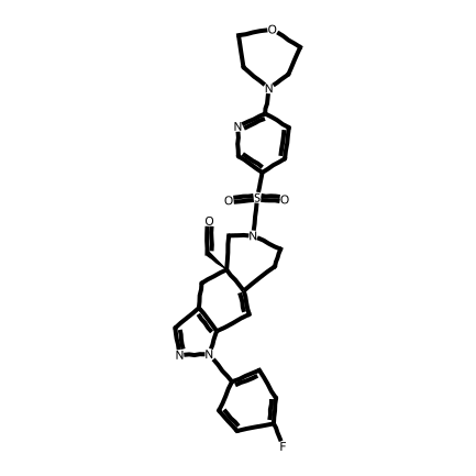 O=C[C@]12Cc3cnn(-c4ccc(F)cc4)c3C=C1CCN(S(=O)(=O)c1ccc(N3CCOCC3)nc1)C2